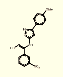 COc1ccc(-c2cc(NC(=NO)c3cccc([N+](=O)[O-])c3)n[nH]2)cc1